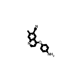 Cc1cc2nccc(Oc3ccc(N)cc3)c2cc1C#N